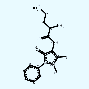 Cc1c(NC(=O)C(N)CCC(=O)O)c(=O)n(-c2ccccc2)n1C